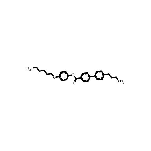 CCCCCCOc1ccc(OC(=O)c2ccc(-c3ccc(CCCC)cc3)cc2)cc1